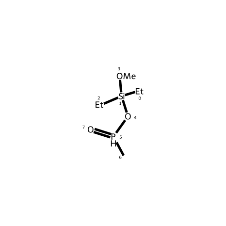 CC[Si](CC)(OC)O[PH](C)=O